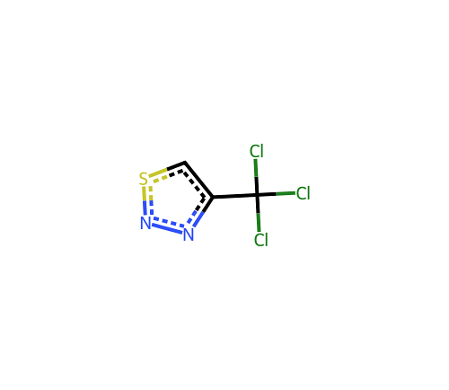 ClC(Cl)(Cl)c1csnn1